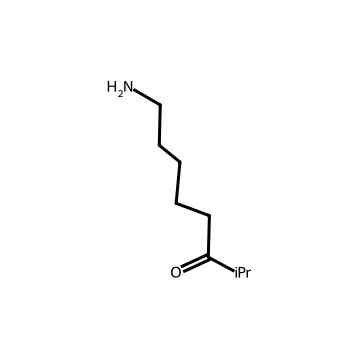 CC(C)C(=O)CCCCCN